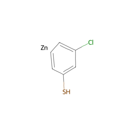 Sc1cccc(Cl)c1.[Zn]